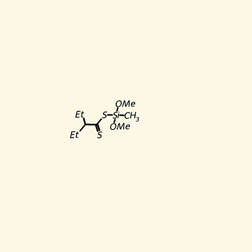 CCC(CC)C(=S)S[Si](C)(OC)OC